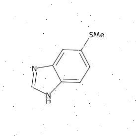 CSc1ccc2[nH]cnc2c1